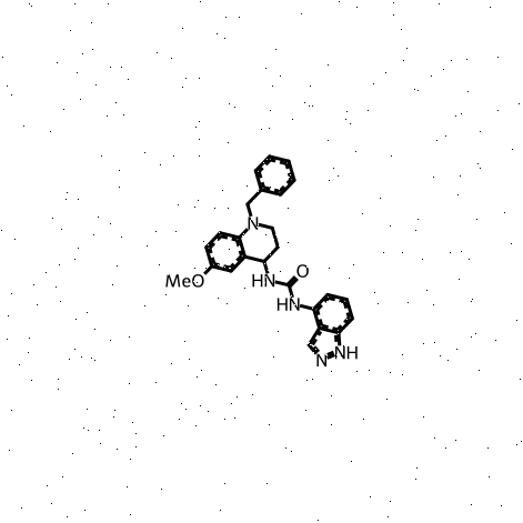 COc1ccc2c(c1)C(NC(=O)Nc1cccc3[nH]ncc13)CCN2Cc1ccccc1